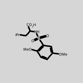 COc1ccc(OC)c(S(=O)(=O)NC(CC(C)C)C(=O)O)c1